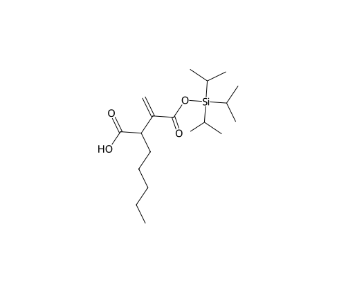 C=C(C(=O)O[Si](C(C)C)(C(C)C)C(C)C)C(CCCCC)C(=O)O